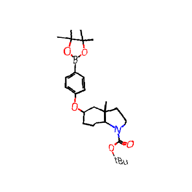 CC(C)(C)OC(=O)N1CCC2(C)CC(Oc3ccc(B4OC(C)(C)C(C)(C)O4)cc3)CCC12